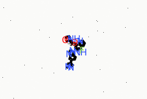 C[C@H](Oc1cc(Nc2ncnc3cc(-c4cnn(C)c4)ccc23)c(F)c2cccnc12)[C@@H]1COCCN1